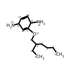 CCCCC(CC)COC1=CC(N)C=CC1N